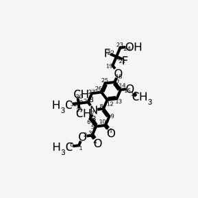 CCOC(=O)c1cn2c(cc1=O)-c1cc(OC)c(OCC(F)(F)CO)cc1CC2C(C)(C)C